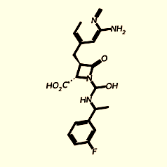 C=N/C(N)=C\C(=C/C)C[C@H]1C(=O)N(C(O)NC(C)c2cccc(F)c2)[C@@H]1C(=O)O